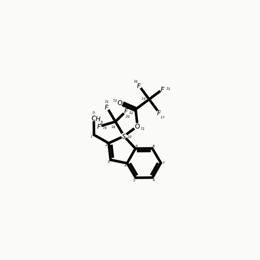 CCC1=Cc2ccccc2S1(OC(=O)C(F)(F)F)C(F)(F)F